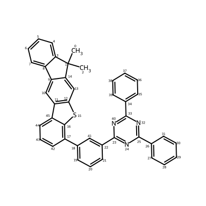 CC1(C)c2ccccc2-c2cc3c(cc21)sc1c(-c2cccc(-c4nc(-c5ccccc5)nc(-c5ccccc5)n4)c2)cccc13